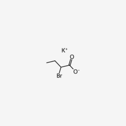 CCC(Br)C(=O)[O-].[K+]